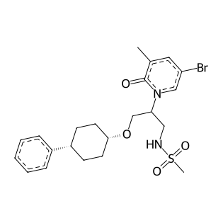 Cc1cc(Br)cn(C(CNS(C)(=O)=O)CO[C@H]2CC[C@@H](c3ccccc3)CC2)c1=O